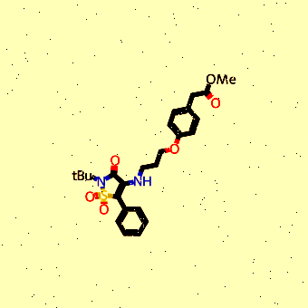 COC(=O)Cc1ccc(OCCCNC2=C(c3ccccc3)S(=O)(=O)N(C(C)(C)C)C2=O)cc1